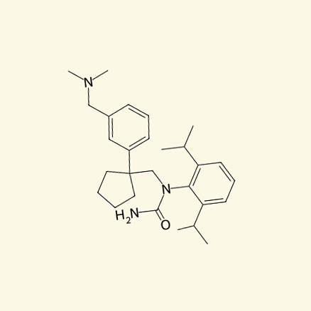 CC(C)c1cccc(C(C)C)c1N(CC1(c2cccc(CN(C)C)c2)CCCC1)C(N)=O